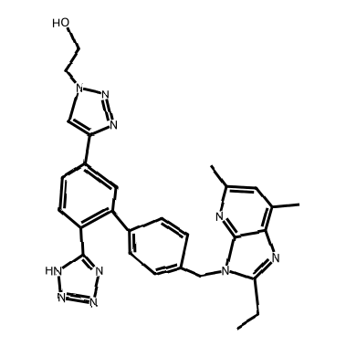 CCc1nc2c(C)cc(C)nc2n1Cc1ccc(-c2cc(-c3cn(CCO)nn3)ccc2-c2nnn[nH]2)cc1